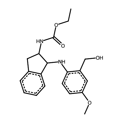 CCOC(=O)NC1Cc2ccccc2C1Nc1ccc(OC)cc1CO